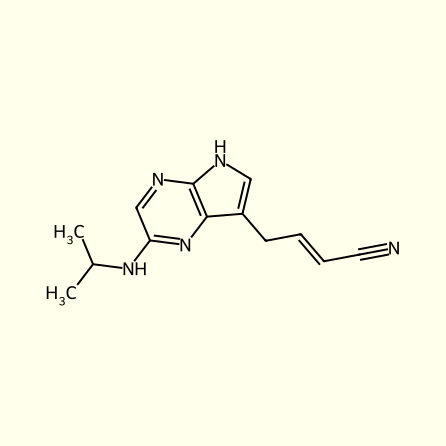 CC(C)Nc1cnc2[nH]cc(CC=CC#N)c2n1